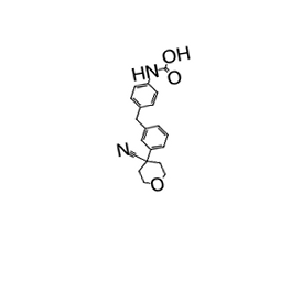 N#CC1(c2cccc(Cc3ccc(NC(=O)O)cc3)c2)CCOCC1